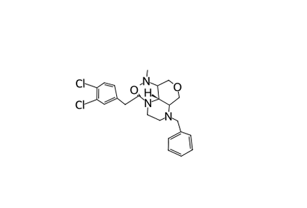 CN(C)C1COCC2[C@@H]1N(C(=O)Cc1ccc(Cl)c(Cl)c1)CCN2Cc1ccccc1